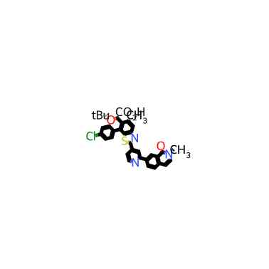 Cc1cc2nc(-c3ccnc(-c4ccc5ccn(C)c(=O)c5c4)c3)sc2c(-c2ccc(Cl)cc2)c1[C@H](OC(C)(C)C)C(=O)O